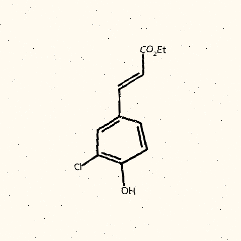 CCOC(=O)/C=C/c1ccc(O)c(Cl)c1